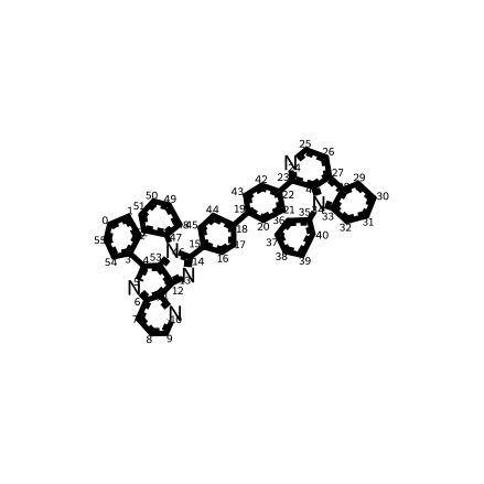 c1ccc(-c2nc3cccnc3c3nc(-c4ccc(-c5ccc(-c6nccc7c8ccccc8n(-c8ccccc8)c67)cc5)cc4)n(-c4ccccc4)c23)cc1